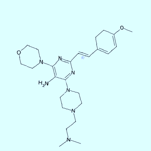 COC1=CC=C(/C=C/c2nc(N3CCOCC3)c(N)c(N3CCN(CCN(C)C)CC3)n2)CC1